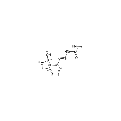 CNC(=S)NN=Cc1cccc2c1B(O)OC2